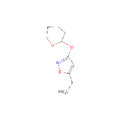 O=C(O)Cc1cc(OC2CCCCO2)no1